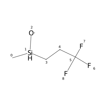 C[SiH]([O])CCC(F)(F)F